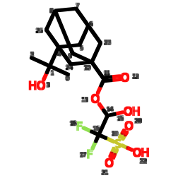 CC(C)(O)C12CC3CC(CC(C(=O)OC(O)C(F)(F)S(=O)(=O)O)(C3)C1)C2